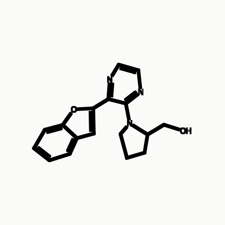 OCC1CCCN1c1nccnc1-c1cc2ccccc2o1